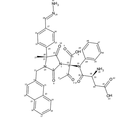 CC(=O)[C@@](C(=O)O)(N1C(=O)N(Cc2ccc3ccccc3c2)[C@](C)(c2ccc(C=NN)cc2)C1=O)N(C(=O)[C@@H](N)CC(=O)O)c1ccccc1